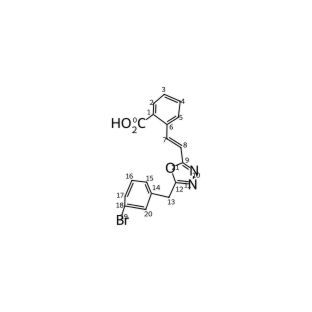 O=C(O)c1ccccc1/C=C/c1nnc(Cc2cccc(Br)c2)o1